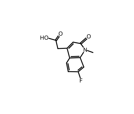 Cn1c(=O)cc(CC(=O)O)c2ccc(F)cc21